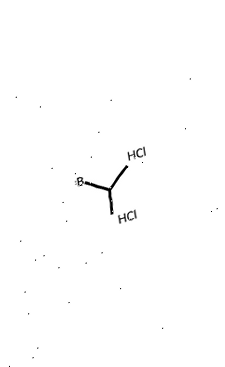 Cl.Cl.[B]C(C)C